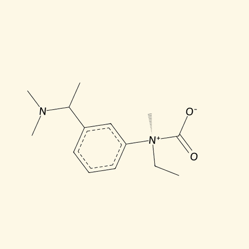 CC[N@+](C)(C(=O)[O-])c1cccc(C(C)N(C)C)c1